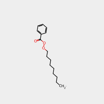 [CH2]CCCCCCCCOOC(=O)c1ccccc1